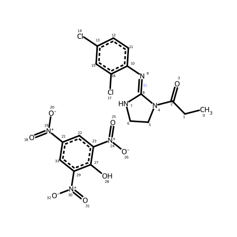 CCC(=O)N1CCN/C1=N\c1ccc(Cl)cc1Cl.O=[N+]([O-])c1cc([N+](=O)[O-])c(O)c([N+](=O)[O-])c1